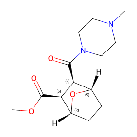 COC(=O)[C@H]1[C@@H](C(=O)N2CCN(C)CC2)[C@@H]2CC[C@H]1O2